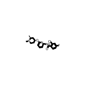 C[C@H]1C[C@H](Oc2cccc(NC(=O)c3ccc(F)cc3Cl)n2)CCN1C